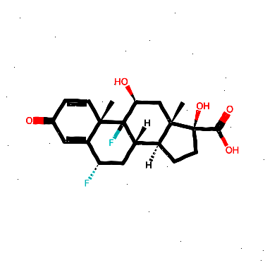 C[C@]12C=CC(=O)C=C1[C@@H](F)C[C@H]1[C@@H]3CC[C@@](O)(C(=O)O)[C@@]3(C)C[C@H](O)C12F